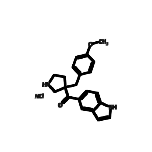 COc1ccc(CC2(C(=O)c3ccc4[nH]ccc4c3)CCNC2)cc1.Cl